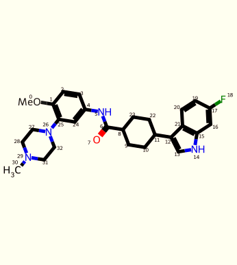 COc1ccc(NC(=O)C2CCC(c3c[nH]c4cc(F)ccc34)CC2)cc1N1CCN(C)CC1